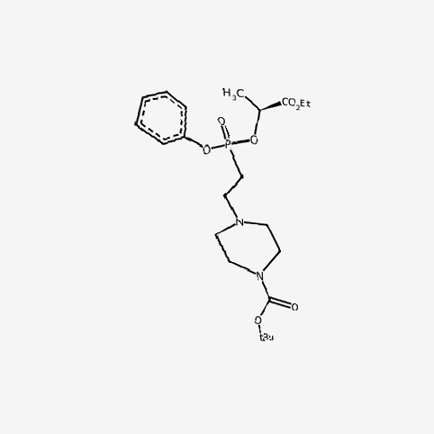 CCOC(=O)[C@H](C)OP(=O)(CCN1CCN(C(=O)OC(C)(C)C)CC1)Oc1ccccc1